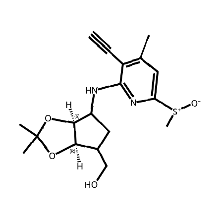 C#Cc1c(C)cc([S+](C)[O-])nc1NC1CC(CO)[C@H]2OC(C)(C)O[C@@H]12